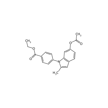 CCOC(=O)c1ccc(-n2c(C)cc3ccc(OC(C)=O)cc32)cc1